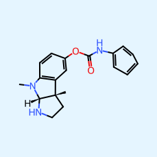 CN1c2ccc(OC(=O)Nc3ccccc3)cc2[C@]2(C)CCN[C@H]12